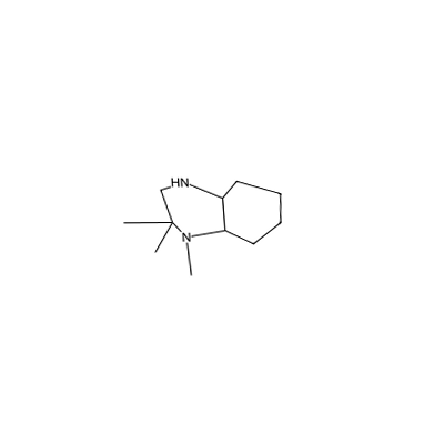 CN1C2CCCCC2NCC1(C)C